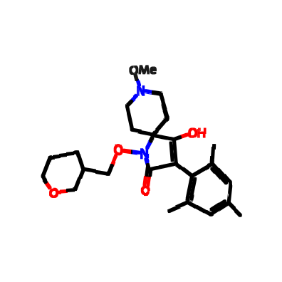 CON1CCC2(CC1)C(O)=C(c1c(C)cc(C)cc1C)C(=O)N2OCC1CCCOC1